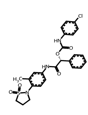 Cc1cc(NC(=O)[C@H](OC(=O)Nc2ccc(Cl)cc2)c2ccccc2)ccc1N1CCCS1(=O)=O